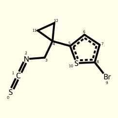 S=C=NCC1(c2ccc(Br)s2)CC1